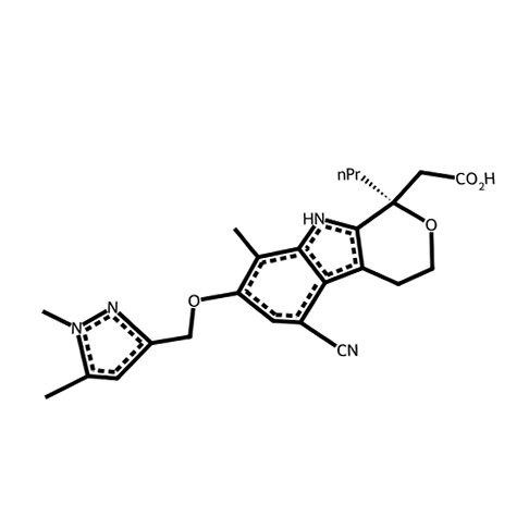 CCC[C@]1(CC(=O)O)OCCc2c1[nH]c1c(C)c(OCc3cc(C)n(C)n3)cc(C#N)c21